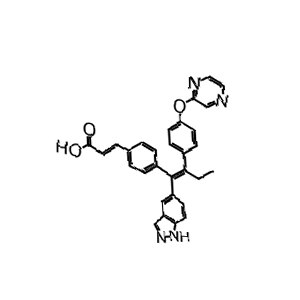 CC/C(=C(/c1ccc(/C=C/C(=O)O)cc1)c1ccc2[nH]ncc2c1)c1ccc(Oc2cnccn2)cc1